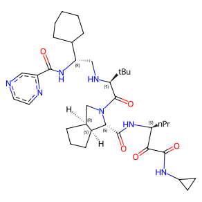 CCC[C@H](NC(=O)[C@@H]1[C@H]2CCC[C@H]2CN1C(=O)[C@@H](NC[C@H](NC(=O)c1cnccn1)C1CCCCC1)C(C)(C)C)C(=O)C(=O)NC1CC1